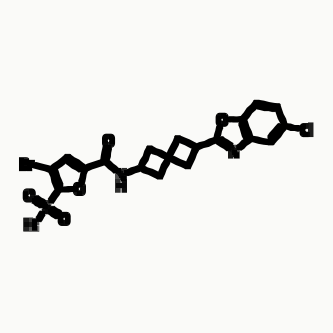 CCS(=O)(=O)c1oc(C(=O)NC2CC3(C2)CC(c2nc4cc(Cl)ccc4o2)C3)cc1Br